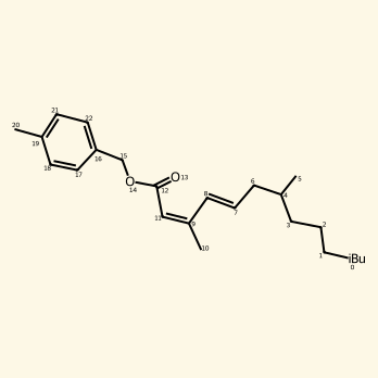 CCC(C)CCCC(C)CC=CC(C)=CC(=O)OCc1ccc(C)cc1